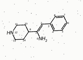 N/C(=C\c1ccccc1)C1CCNCC1